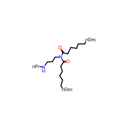 CCCCCCCCCCCCCCCC(=O)N(CCCNCCC)C(=O)CCCCCCCCCCCCCCC